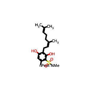 CCCCCc1cc(O)c(CC=C(C)CCC=C(C)C)c(O)c1S(=O)(=O)NC